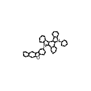 c1ccc(-n2c3ccccc3c3c4c5ccccc5n(-c5ccc6oc7cc8ccccc8cc7c6c5)c4c4ccccc4c32)cc1